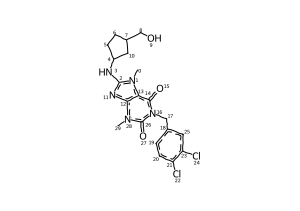 Cn1c(NC2CCC(CO)C2)nc2c1c(=O)n(Cc1ccc(Cl)c(Cl)c1)c(=O)n2C